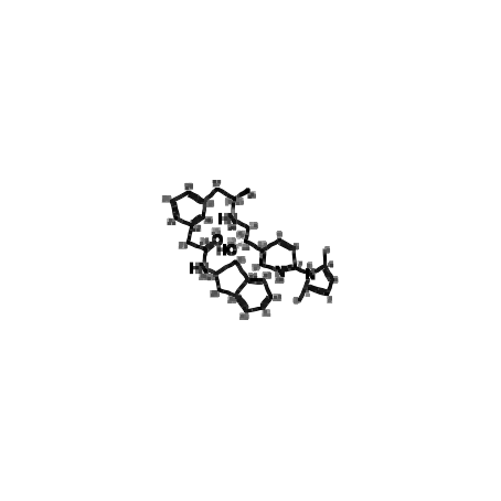 Cc1ccc(C)n1-c1ccc([C@H](O)CN[C@H](C)Cc2cccc(CC(=O)NC3Cc4ccccc4C3)c2)cn1